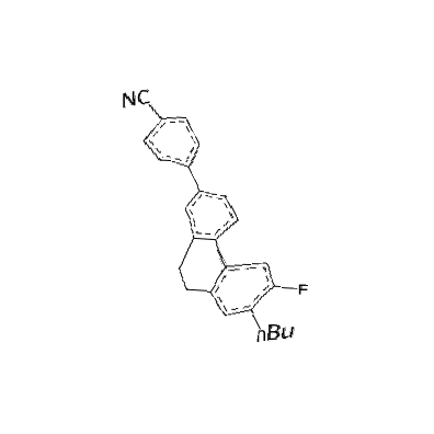 CCCCc1cc2c(cc1F)-c1ccc(-c3ccc(C#N)cc3)cc1CC2